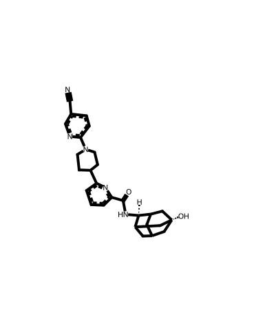 N#Cc1ccc(N2CCC(c3cccc(C(=O)N[C@H]4C5CC6CC4C[C@](O)(C6)C5)n3)CC2)nc1